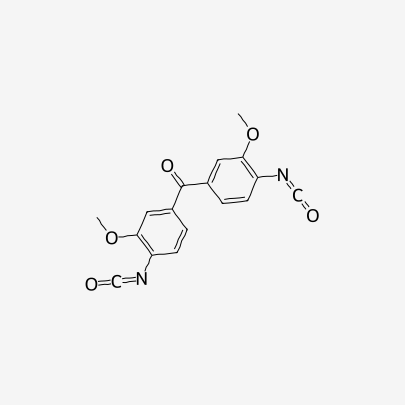 COc1cc(C(=O)c2ccc(N=C=O)c(OC)c2)ccc1N=C=O